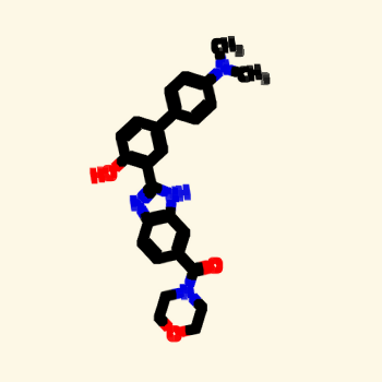 CN(C)c1ccc(-c2ccc(O)c(-c3nc4ccc(C(=O)N5CCOCC5)cc4[nH]3)c2)cc1